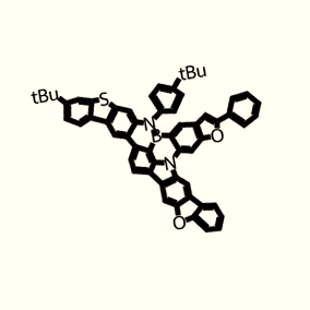 CC(C)(C)c1ccc(N2B3c4cc5cc(-c6ccccc6)oc5cc4-n4c5cc6c(cc5c5ccc(c3c54)-c3cc4c(cc32)sc2cc(C(C)(C)C)ccc24)oc2ccccc26)cc1